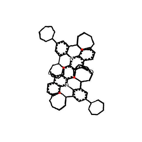 O=c1c2ccccc2n(-c2c(C3CCCCCC3)cc(C3CCCCCC3)cc2C2CCCCCC2)c2cc3c(=O)c4ccccc4n(-c4c(C5CCCCCC5)cc(C5CCCCCC5)cc4C4CCCCCC4)c3cc12